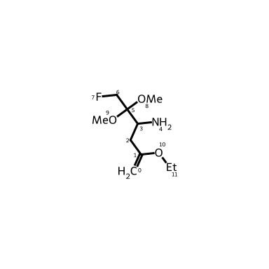 C=C(CC(N)C(CF)(OC)OC)OCC